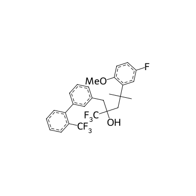 COc1ccc(F)cc1C(C)(C)CC(O)(Cc1cccc(-c2ccccc2C(F)(F)F)c1)C(F)(F)F